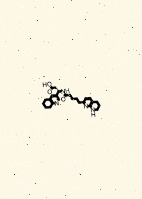 O=C(O)C[C@H](NC(=O)CCCCc1ccc2c(n1)NCCC2)c1cnc2c(c1)CCCC2